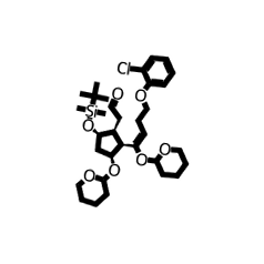 CC(C)(C)[Si](C)(C)O[C@@H]1C[C@H](OC2CCCCO2)[C@H](/C(=C\CCOc2ccccc2Cl)OC2CCCCO2)[C@@H]1CC=O